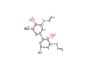 C=CCc1cc(CC)cc(-c2cc(CC=C)c(O)c(C(C)(C)C)c2)c1O